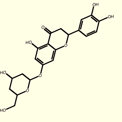 O=C1CC(c2ccc(O)c(O)c2)Oc2cc(OC3CC(O)CC(CO)O3)cc(O)c21